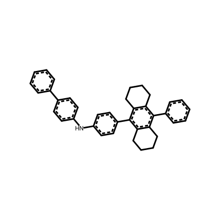 c1ccc(-c2ccc(Nc3ccc(-c4c5c(c(-c6ccccc6)c6c4CCCC6)CCCC5)cc3)cc2)cc1